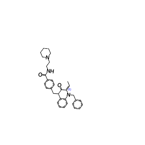 C/C=C1\C(=O)C(Cc2ccc(C(=O)NCCN3CCCCC3)cc2)c2ccccc2N1Cc1ccccc1